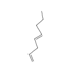 C=[C]CC=CCCC